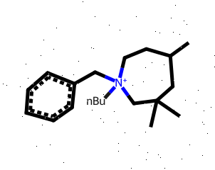 CCCC[N+]1(Cc2ccccc2)CCC(C)CC(C)(C)C1